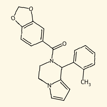 Cc1ccccc1C1c2cccn2CCN1C(=O)c1ccc2c(c1)OCO2